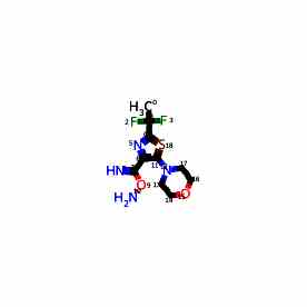 CC(F)(F)c1nc(C(=N)ON)c(N2CCOCC2)s1